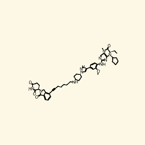 CC[C@@H]1C(=O)N(C)c2cnc(Nc3ccc(-c4cn([C@H]5CC[C@@H](NCCCCCC#Cc6cccc7c6CN(C6CCC(=O)NC6=O)C7=O)CC5)nn4)cc3OC)nc2N1C1CCCC1